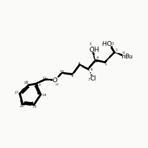 CCCC[C@H](O)C[C@H](O)[C@H](Cl)CCCOCc1ccccc1